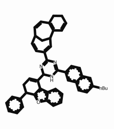 CCCCc1ccc2cc(C3=NC(C4=CC5CC(C=C4)C=CC4=C5C=CCC4)=NC(C4=CCC(c5ccccc5)c5oc6ccccc6c54)N3)ccc2c1